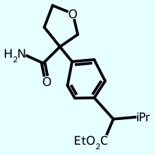 CCOC(=O)C(c1ccc(C2(C(N)=O)CCOC2)cc1)C(C)C